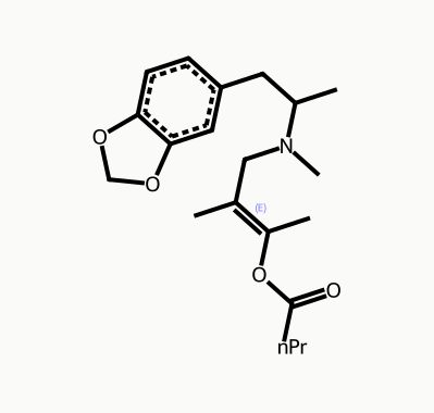 CCCC(=O)O/C(C)=C(\C)CN(C)C(C)Cc1ccc2c(c1)OCO2